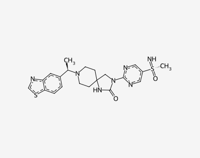 C[C@H](c1ccc2scnc2c1)N1CCC2(CC1)CN(c1ncc([S@@](C)(=N)=O)cn1)C(=O)N2